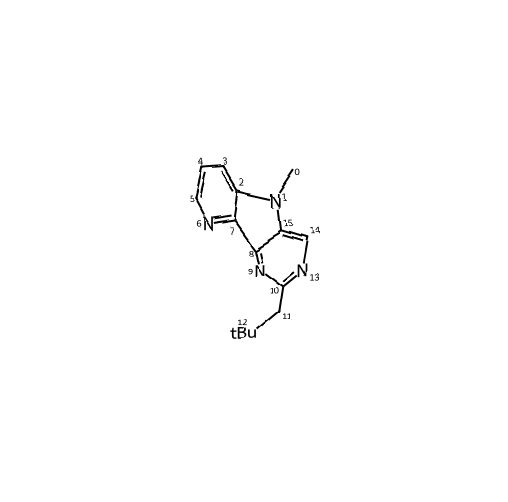 Cn1c2cccnc2c2nc(CC(C)(C)C)ncc21